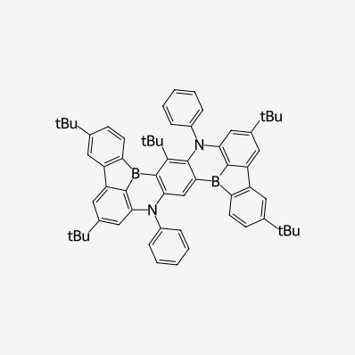 CC(C)(C)c1ccc2c(c1)-c1cc(C(C)(C)C)cc3c1B2c1c(cc2c(c1C(C)(C)C)N(c1ccccc1)c1cc(C(C)(C)C)cc4c1B2c1ccc(C(C)(C)C)cc1-4)N3c1ccccc1